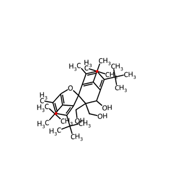 Cc1cc(C(C)(C)C)c2c(C(C)(C)C)c1OC21c2c(C)cc(C(C)(C)C)c(c2C(C)(C)C)C(O)C1(CO)CO